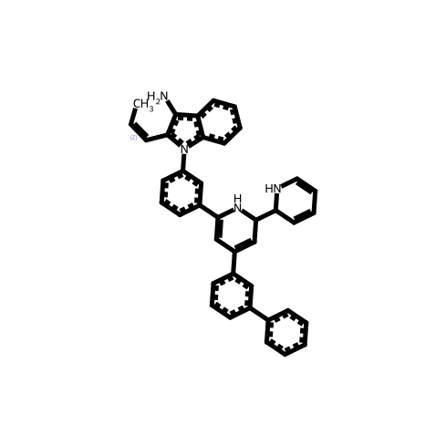 C/C=C\c1c(N)c2ccccc2n1-c1cccc(C2=CC(c3cccc(-c4ccccc4)c3)=CC(C3C=CC=CN3)N2)c1